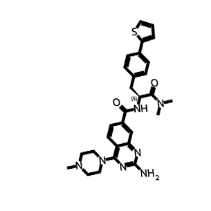 CN1CCN(c2nc(N)nc3cc(C(=O)N[C@@H](Cc4ccc(-c5cccs5)cc4)C(=O)N(C)C)ccc23)CC1